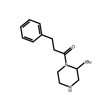 CC(C)(C)C1CNCCN1C(=O)CCc1ccccc1